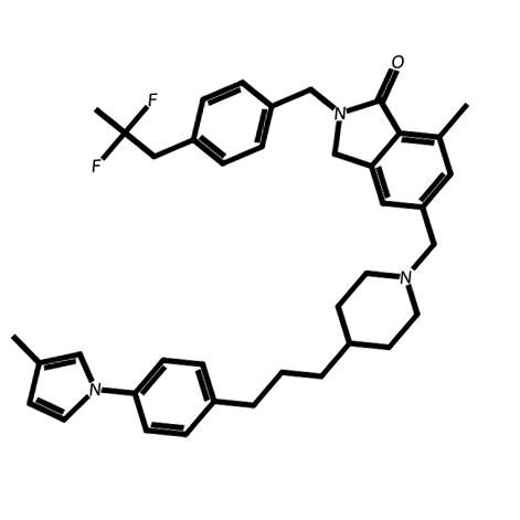 Cc1ccn(-c2ccc(CCCC3CCN(Cc4cc(C)c5c(c4)CN(Cc4ccc(CC(C)(F)F)cc4)C5=O)CC3)cc2)c1